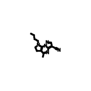 CCCCN1CCc2c(C)nc3c(C#N)cnn3c21